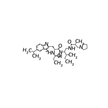 CCC(=O)N[C@@H](Cc1nc2ccc(C(C)C)cc2s1)C(=O)NC(CNC(=O)C(C)CN1CCCC1)[C@@H](C)CC